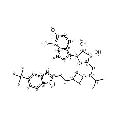 CC(C)N(C[C@H]1O[C@@H](n2cnc3c(N)[n+]([O-])cnc32)[C@H](O)[C@@H]1O)[C@H]1C[C@H](CCc2nc3cc(C(C)(C)C)ccc3[nH]2)C1